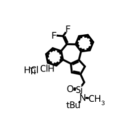 CN([Si](=O)CC1=CC2=C(C1)c1ccccc1C(=C(F)F)c1ccccc12)C(C)(C)C.Cl.Cl.[Ti]